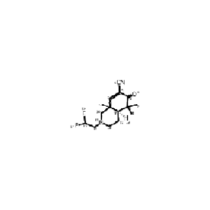 CC1(C)C(=O)C(C#N)=C[C@@]2(C)CN(CC(F)F)CC[C@H]12